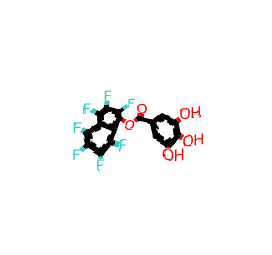 O=C(Oc1c(F)c(F)c(F)c2c(F)c(F)c(F)c(F)c12)c1cc(O)c(O)c(O)c1